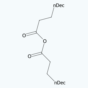 CCCCCCCCCCCCC(=O)OC(=O)CCCCCCCCCCCC